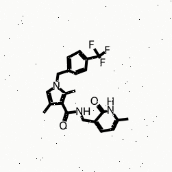 Cc1ccc(CNC(=O)c2c(C)cn(Cc3ccc(C(F)(F)F)cc3)c2C)c(=O)[nH]1